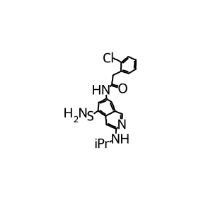 CC(C)Nc1cc2c(SN)cc(NC(=O)Cc3ccccc3Cl)cc2cn1